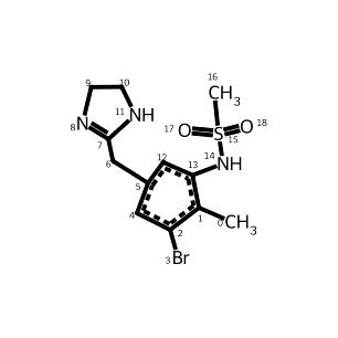 Cc1c(Br)cc(CC2=NCCN2)cc1NS(C)(=O)=O